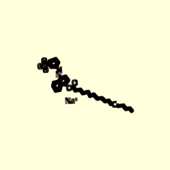 CCCCCCCCCCCCCCCCCC(=O)Oc1ccc(/N=N/c2cccc(S(=O)(=O)[O-])c2)c2ccccc12.[Na+]